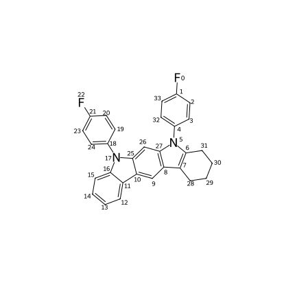 Fc1ccc(-n2c3c(c4cc5c6ccccc6n(-c6ccc(F)cc6)c5cc42)CCCC3)cc1